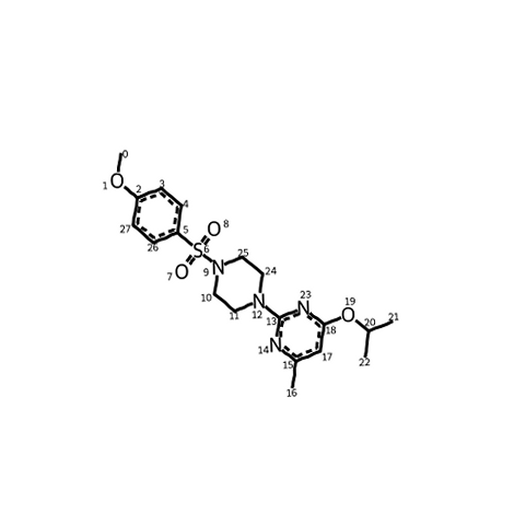 COc1ccc(S(=O)(=O)N2CCN(c3nc(C)cc(OC(C)C)n3)CC2)cc1